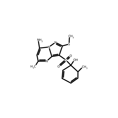 CSc1nn2c(N)cc(C)nc2c1S(=O)(=O)C1(O)C=CC=CC1C